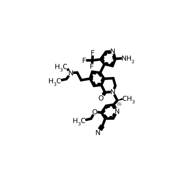 CCOc1cc([C@H](C)N2CCc3c(cc(CCN(C)CC)cc3-c3cc(N)ncc3C(F)(F)F)C2=O)ncc1C#N